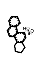 CC(C)O.O.c1ccc2c(c1)ccc1c3c(ccc12)CCCC3